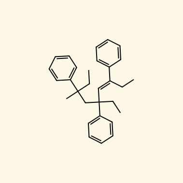 CCC(=CC(CC)(CC(C)(CC)c1ccccc1)c1ccccc1)c1ccccc1